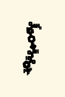 NC(=O)c1ncc(C2CCC(N3CC(NC(=O)CNC(=O)c4cccc(C(F)(F)F)c4)C3)CC2)s1